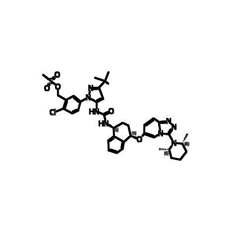 C[C@@H]1CCC[C@H](C)N1c1nnc2ccc(O[C@@H]3CC[C@H](NC(=O)Nc4cc(C(C)(C)C)nn4-c4ccc(Cl)c(COS(C)(=O)=O)c4)c4ccccc43)cn12